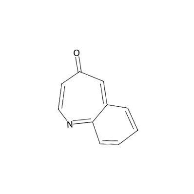 O=c1ccnc2ccccc2c1